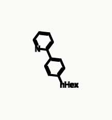 CCCCCCc1ccc(-c2ccccn2)cc1